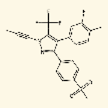 CC#Cn1nc(-c2ccc(S(C)(=O)=O)cc2)c(-c2ccc(C)c(F)c2)c1C(F)(F)F